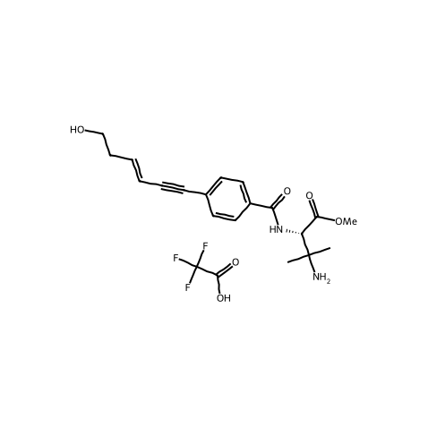 COC(=O)[C@@H](NC(=O)c1ccc(C#C/C=C/CCO)cc1)C(C)(C)N.O=C(O)C(F)(F)F